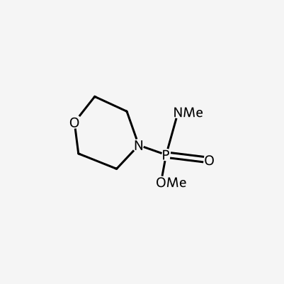 CNP(=O)(OC)N1CCOCC1